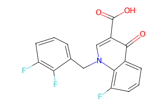 O=C(O)c1cn(Cc2cccc(F)c2F)c2c(F)cccc2c1=O